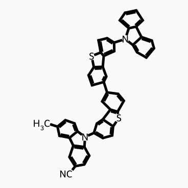 Cc1ccc2c(c1)c1cc(C#N)ccc1n2-c1ccc2sc3ccc(-c4ccc5sc6ccc(-n7c8ccccc8c8ccccc87)cc6c5c4)cc3c2c1